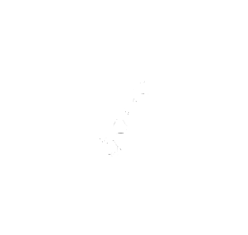 CC(C)(C)OC(=O)N1CCN(c2ccc(C(C#N)=NO)cc2)CC1